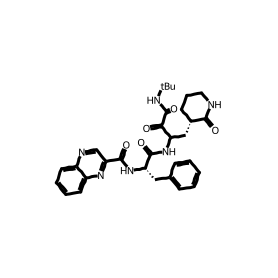 CC(C)(C)NC(=O)C(=O)C(C[C@@H]1CCCNC1=O)NC(=O)[C@H](Cc1ccccc1)NC(=O)c1cnc2ccccc2n1